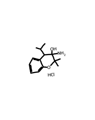 CC(C)C1c2ccccc2OC(C)(C)C1(N)O.Cl